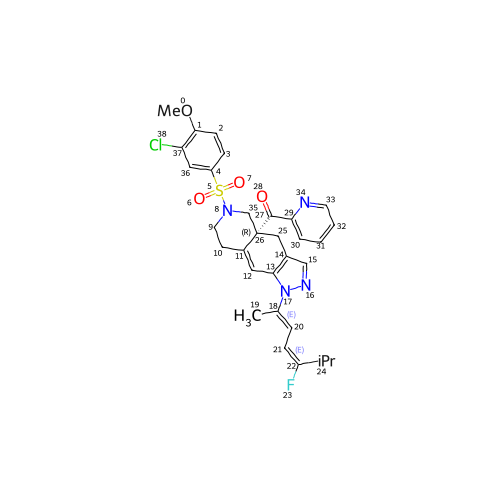 COc1ccc(S(=O)(=O)N2CCC3=Cc4c(cnn4/C(C)=C/C=C(/F)C(C)C)C[C@]3(C(=O)c3ccccn3)C2)cc1Cl